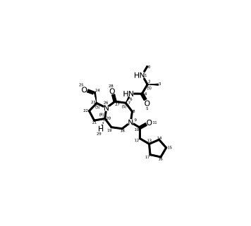 CN[C@@H](C)C(=O)N[C@H]1CN(C(=O)CC2CCCC2)CC[C@H]2CC[C@@H](C=O)N2C1=O